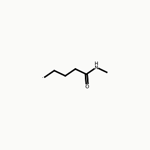 [CH2]CCCC(=O)NC